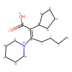 CCCCC(=C(C(=O)O)C1CCCC1)N1CCCCC1